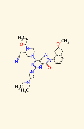 C=CC(=O)N1CCN(c2nc(N3CC(N(CC)CC)C3)nc3c(=O)n(-c4cccc5c4CC(OC)C5)ncc23)CC1CC#N